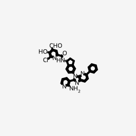 Nc1ncccc1-c1nc2ccc(-c3ccccc3)nc2n1-c1ccc2c(c1)CC[C@@H]2NC(=O)c1cc(C=O)c(O)c(Cl)n1